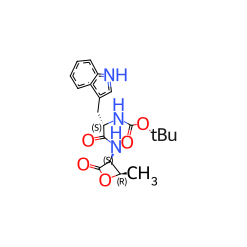 C[C@H]1OC(=O)[C@H]1NC(=O)[C@H](Cc1c[nH]c2ccccc12)NC(=O)OC(C)(C)C